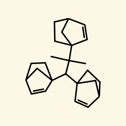 CC(C)([C](C12C=CC(CC1)C2)C12C=CC(CC1)C2)C12C=CC(CC1)C2